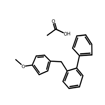 CC(=O)O.COc1ccc(Cc2ccccc2-c2ccccc2)cc1